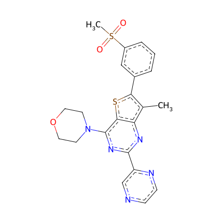 Cc1c(-c2cccc(S(C)(=O)=O)c2)sc2c(N3CCOCC3)nc(-c3cnccn3)nc12